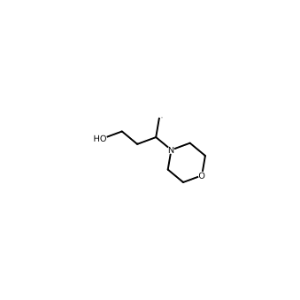 [CH2]C(CCO)N1CCOCC1